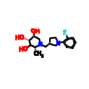 C[C@@H]1[C@@H](O)[C@H](O)[C@@H](O)CN1CC1CCN(c2ccccc2F)C1